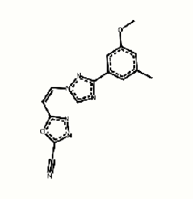 COc1cc(C)cc(-c2ncn(/C=C\c3nnc(C#N)o3)n2)c1